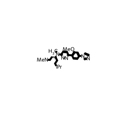 CNCC[C@H](CCC(C)C)N(C)c1ccc(-c2ccc(-n3ccnc3)cc2OC)nn1